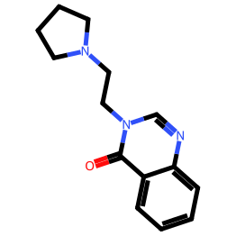 O=c1c2ccccc2ncn1CCN1CCCC1